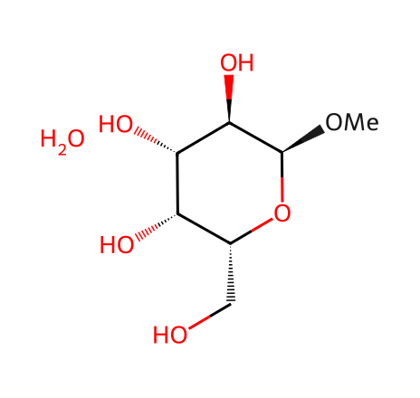 CO[C@H]1O[C@H](CO)[C@H](O)[C@H](O)[C@H]1O.O